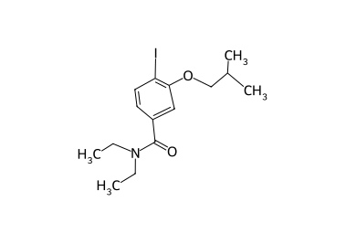 CCN(CC)C(=O)c1ccc(I)c(OCC(C)C)c1